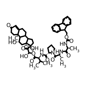 CC(C)[C@H](NC(=O)[C@@H]1CCCN1C(=O)[C@H](C)NC(=O)[C@H](C)NC(=O)OCC1c2ccccc2-c2ccccc21)C(=O)OC(O)C(=O)[C@@]1(O)CCC2C3CCC4=CC(=O)CC[C@]4(C)C3[C@@H](O)C[C@@]21C